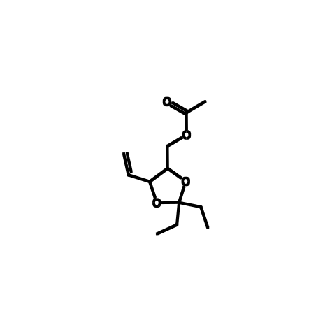 C=CC1OC(CC)(CC)OC1COC(C)=O